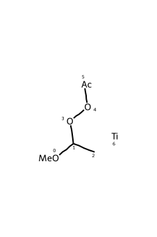 COC(C)OOC(C)=O.[Ti]